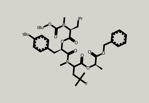 CC(C)C[C@@H](C(=O)O[C@H](Cc1ccc(C(C)(C)C)cc1)C(=O)N(C)C(CC(C)(C)F)C(=O)O[C@H](C)C(=O)OCc1ccccc1)N(C)C(=O)OC(C)(C)C